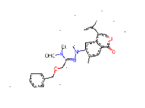 C=C(C)c1coc(=O)c2cc(C)c(N(C)/N=C(/COCc3ccccc3)N(C=O)CC)cc12